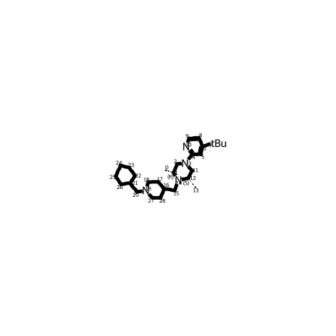 C[C@@H]1CN(c2cc(C(C)(C)C)ccn2)C[C@H](C)N1CC1CCN(CC2CCCCC2)CC1